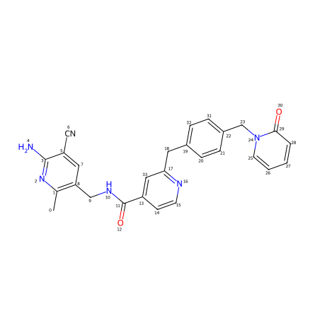 Cc1nc(N)c(C#N)cc1CNC(=O)c1ccnc(Cc2ccc(Cn3ccccc3=O)cc2)c1